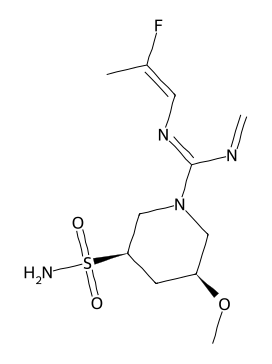 C=N/C(=N\C=C(/C)F)N1C[C@@H](OC)C[C@@H](S(N)(=O)=O)C1